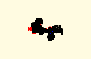 CCC(CC)C(=O)N(CCCOc1ccc(C[C@H](Nc2ccccc2C(=O)c2ccccc2)C(=O)O)cc1)Cc1ccccc1